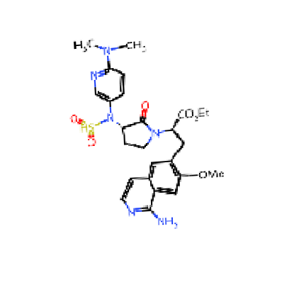 CCOC(=O)[C@@H](Cc1cc2ccnc(N)c2cc1OC)N1CC[C@H](N(c2ccc(N(C)C)nc2)[SH](=O)=O)C1=O